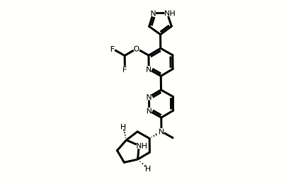 CN(c1ccc(-c2ccc(-c3cn[nH]c3)c(OC(F)F)n2)nn1)[C@@H]1C[C@H]2CC[C@@H](C1)N2